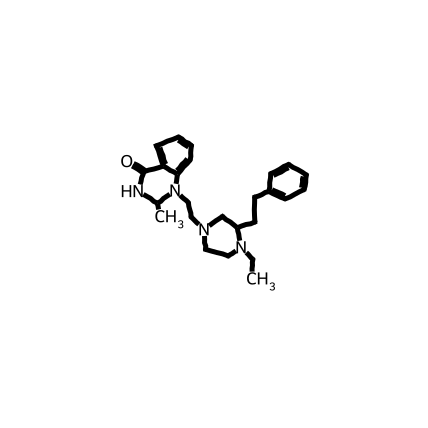 CCN1CCN(CCN2c3ccccc3C(=O)NC2C)CC1CCc1ccccc1